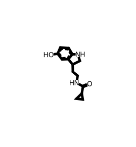 O=C(NCCC1CNc2ccc(O)cc21)C1CC1